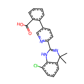 CC1(C)N=C(c2ccc(-c3ccccc3C(=O)O)cn2)Nc2c(Cl)cccc21